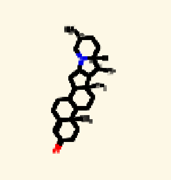 C[C@H]1CC[C@@H]2[C@@H](C)C3C(CC4C5CCC6=CC(=O)CCC6(C)C5CCC43C)N2C1